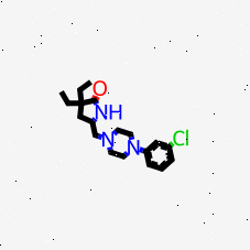 CCC1(CC)CC(CN2CCN(c3cccc(Cl)c3)CC2)NC1=O